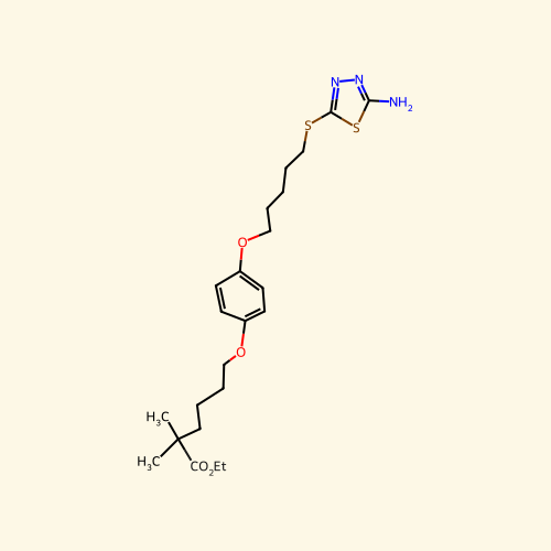 CCOC(=O)C(C)(C)CCCCOc1ccc(OCCCCCSc2nnc(N)s2)cc1